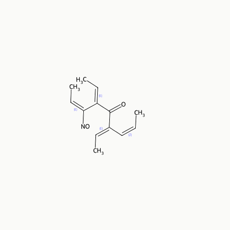 C/C=C\C(=C/C)C(=O)C(=C/C)/C(=C\C)N=O